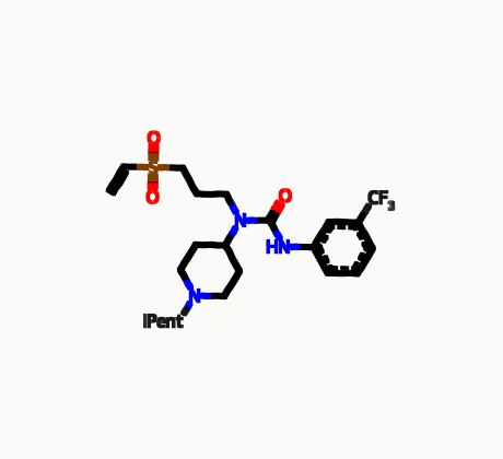 C=CS(=O)(=O)CCCN(C(=O)Nc1cccc(C(F)(F)F)c1)C1CCN(C(C)CCC)CC1